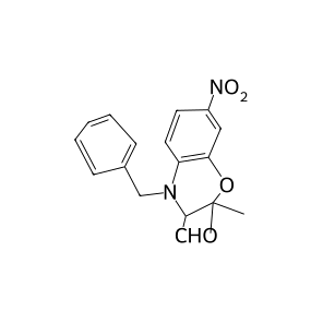 CC1(C)Oc2cc([N+](=O)[O-])ccc2N(Cc2ccccc2)C1C=O